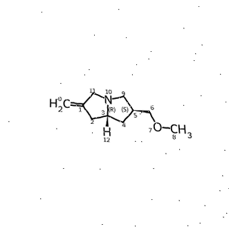 C=C1C[C@H]2C[C@H](COC)CN2C1